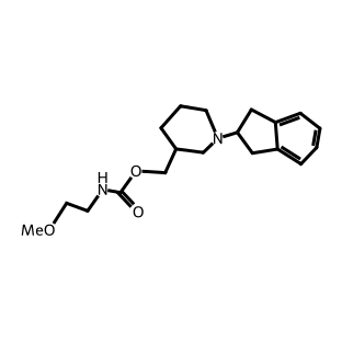 COCCNC(=O)OCC1CCCN(C2Cc3ccccc3C2)C1